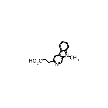 Cn1c2ccccc2c2cc(CCC(=O)O)ncc21